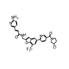 Nc1ccc(C=CC(=O)NCc2cc3cc(-c4ccc(C(=O)N5CCC(Cl)C5)cn4)cc(C(F)(F)F)c3o2)cn1